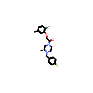 Cc1ccc(Cl)c(OCC(=O)N2C[C@H](C)N(Cc3ccc(F)cc3)C[C@H]2C)c1